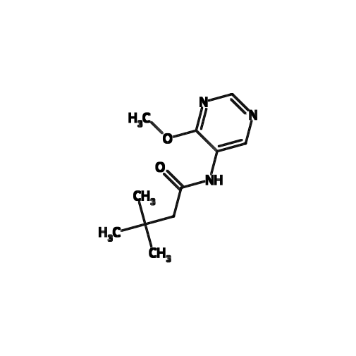 COc1ncncc1NC(=O)CC(C)(C)C